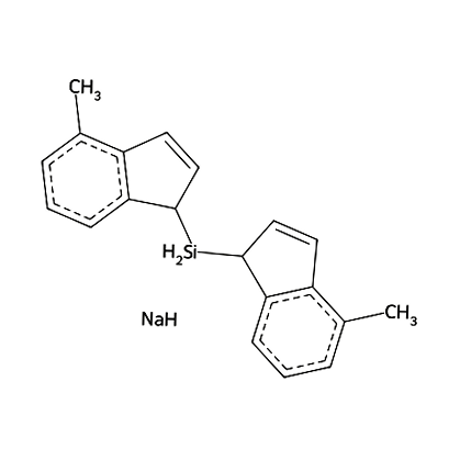 Cc1cccc2c1C=CC2[SiH2]C1C=Cc2c(C)cccc21.[NaH]